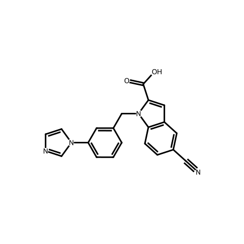 N#Cc1ccc2c(c1)cc(C(=O)O)n2Cc1cccc(-n2ccnc2)c1